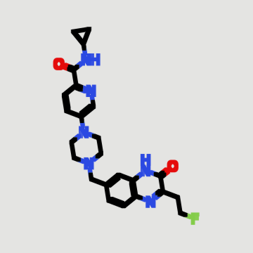 O=C(NC1CC1)c1ccc(N2CCN(Cc3ccc4nc(CCF)c(=O)[nH]c4c3)CC2)cn1